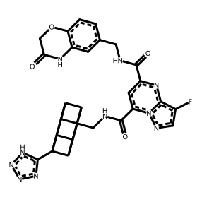 O=C1COc2ccc(CNC(=O)c3cc(C(=O)NCC45C6C7C4C4C5C6C74c4nnn[nH]4)n4ncc(F)c4n3)cc2N1